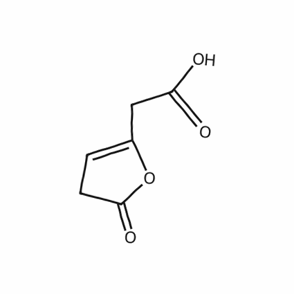 O=C(O)CC1=CCC(=O)O1